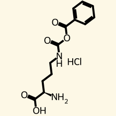 Cl.N[C@H](CCCNC(=O)OC(=O)c1ccccc1)C(=O)O